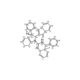 CC12C=CC=CC1N=C(N1C3=C(C=CCC3)[C@@H]3c4ccccc4C4=C(SC5C=CC=CC45)C31)NC2c1ccccc1